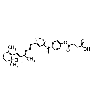 CC(C=CC1=C(C)CCCC1(C)C)=CC=CC(C)=CC(=O)Nc1ccc(OC(=O)CCC(=O)O)cc1